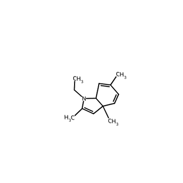 CCN1C(C)=CC2(C)C=CC(C)=CC12